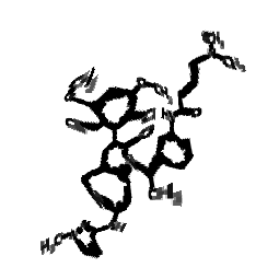 COc1cc(OC)c(Cl)c(-c2cc3cnc(Nc4ccn(C)n4)cc3n(C(C)c3cccc(NC(=O)/C=C/CN(C)C)c3)c2=O)c1Cl